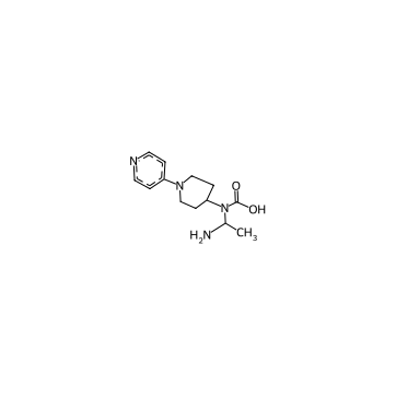 CC(N)N(C(=O)O)C1CCN(c2ccncc2)CC1